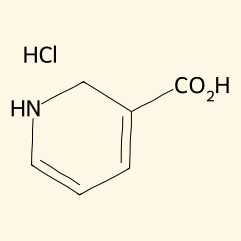 Cl.O=C(O)C1=CC=CNC1